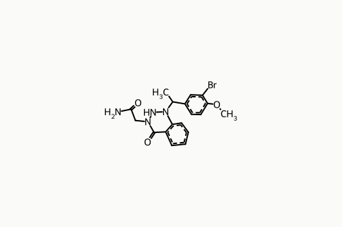 COc1ccc(C(C)N2NN(CC(N)=O)C(=O)c3ccccc32)cc1Br